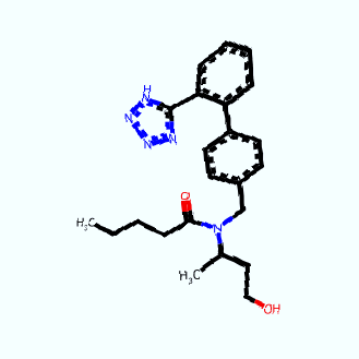 CCCCC(=O)N(Cc1ccc(-c2ccccc2-c2nnn[nH]2)cc1)C(C)CCO